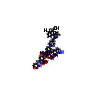 C#CC(C)(C)c1ccccc1[C@@H]1CCCN1C1CC2(CCN(c3ccc(C(=O)NS(=O)(=O)c4ccc(NCC5CCOCC5)c([N+](=O)[O-])c4)c(N4c5cc6cc[nH]c6nc5O[C@@H]5COC[C@H]54)c3)CC2)C1